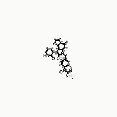 Nc1nnc2cc(Cn3c(C(=O)O)c(-c4ccc[nH]c4=O)c4c5occc5c(F)cc43)ccc2[n+]1[O-]